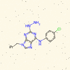 CC(C)Cn1cnc2c(Nc3ccc(Cl)cc3)nc(NN)nc21